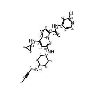 CC#CCN[C@H]1CC[C@H](Nc2cc(NC3CC3)c3ncc(C(=O)Nc4ccnc(Cl)c4)n3n2)CC1